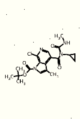 CNC(=O)N(C(=O)c1cnc(Cl)c2c1c(C)cn2C(=O)OC(C)(C)C)C1CC1